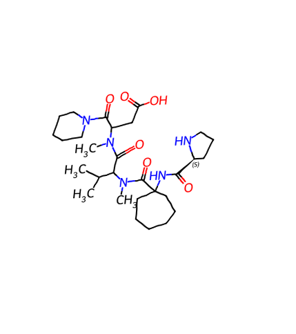 CC(C)C(C(=O)N(C)C(CC(=O)O)C(=O)N1CCCCC1)N(C)C(=O)C1(NC(=O)[C@@H]2CCCN2)CCCCCC1